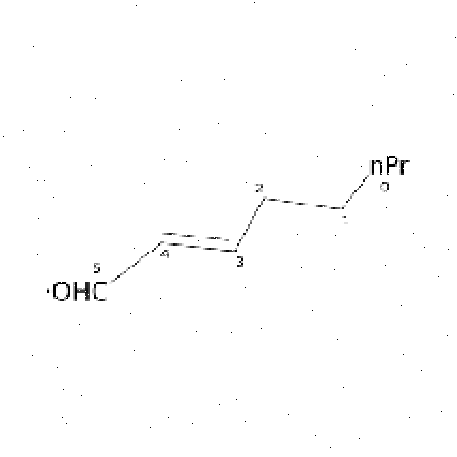 CCCCCC=C[C]=O